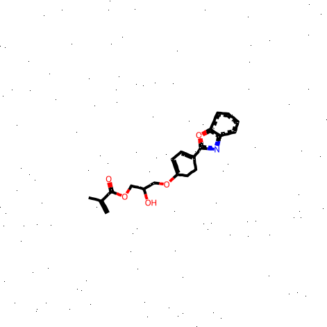 C=C(C)C(=O)OCC(O)COC1=CC=C(c2nc3ccccc3o2)CC1